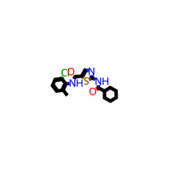 Cc1cccc(Cl)c1NC(=O)c1cnc(NC(=O)C2CCCCC2)s1